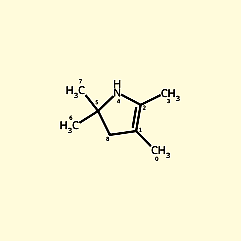 CC1=C(C)NC(C)(C)C1